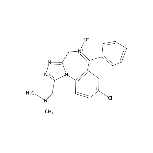 CN(C)Cc1nnc2n1-c1ccc(Cl)cc1C(c1ccccc1)=[N+]([O-])C2